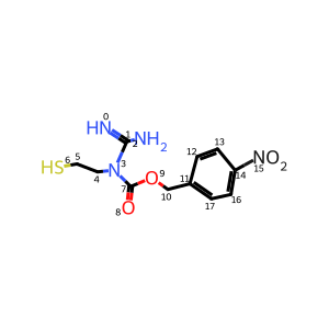 N=C(N)N(CCS)C(=O)OCc1ccc([N+](=O)[O-])cc1